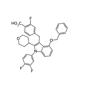 O=C(O)c1ccc(Cc2c(C3CCOCC3)n(-c3ccc(F)c(F)c3)c3cccc(OCc4ccccc4)c23)cc1F